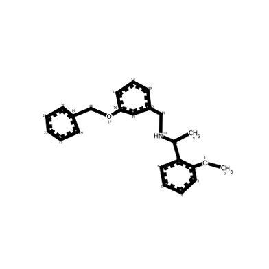 COc1ccccc1C(C)NCc1cccc(OCc2ccccc2)c1